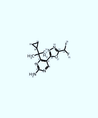 CC(C)(c1nc(N)ncc1-c1nnc(C(F)F)o1)C1CC1